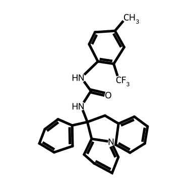 Cc1ccc(NC(=O)NC(Cc2ccccc2)(c2ccccc2)c2ccccn2)c(C(F)(F)F)c1